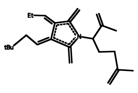 C=C(C)CCC(C(=C)C)n1c(=C)c(=C/CC)/c(=C\CC(C)(C)C)c1=C